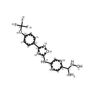 NC(NO)c1cnc(Nc2nc(-c3ccc(OC(F)(F)F)cc3)no2)cn1